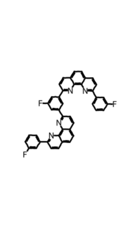 Fc1cccc(-c2ccc3ccc4ccc(-c5cc(F)cc(-c6ccc7ccc8ccc(-c9cccc(F)c9)nc8c7n6)c5)nc4c3n2)c1